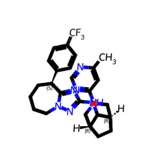 Cc1cc(N2C[C@H]3CC[C@H](C2)C3Nc2nc3n(n2)CCCC[C@H]3c2ccc(C(F)(F)F)cc2)ncn1